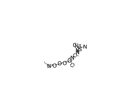 [C-]#[N+]c1c(/N=N/c2ccc(N(CC)CC(OCCOCCOCCOCC[N+](C)(C)CCCC)c3ccccc3)cc2C)sc(C#N)c1C